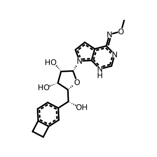 CO/N=c1\nc[nH]c2c1ccn2[C@@H]1O[C@H]([C@H](O)c2ccc3c(c2)CC3)[C@H](O)[C@@H]1O